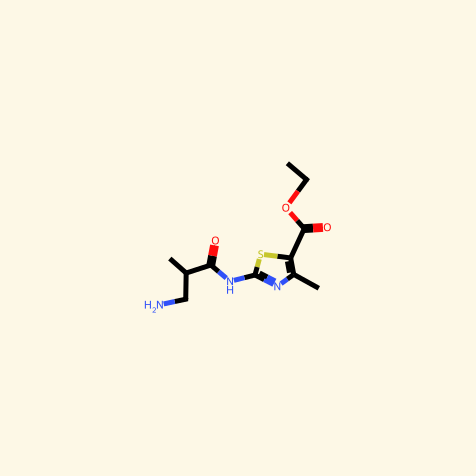 CCOC(=O)c1sc(NC(=O)C(C)CN)nc1C